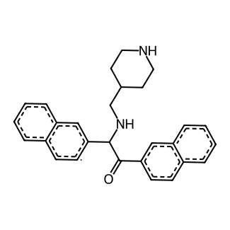 O=C(c1ccc2ccccc2c1)C(NCC1CCNCC1)c1[c]cc2ccccc2c1